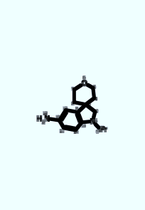 CC(C)N1CC2(CCOCC2)c2cc(N)ccc21